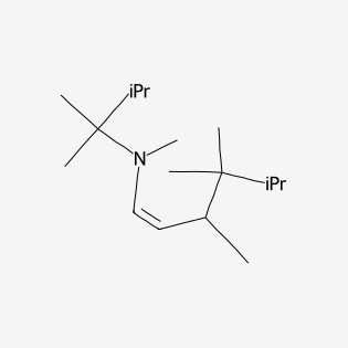 CC(C)C(C)(C)C(C)/C=C\N(C)C(C)(C)C(C)C